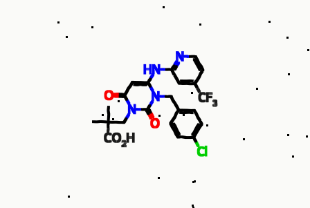 CC(C)(Cn1c(=O)cc(Nc2cc(C(F)(F)F)ccn2)n(Cc2ccc(Cl)cc2)c1=O)C(=O)O